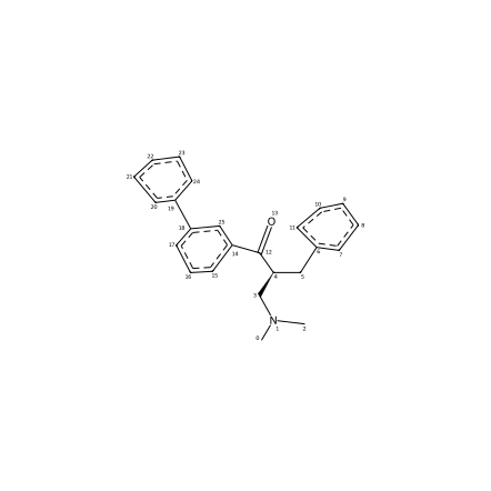 CN(C)C[C@H](Cc1ccccc1)C(=O)c1cccc(-c2ccccc2)c1